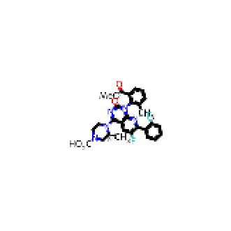 COC(=O)c1cccc(C)c1-n1c(=O)nc(N2CCN(C(=O)O)C[C@@H]2C)c2cc(F)c(-c3ccccc3F)nc21